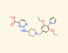 CCOc1cc(CN2CCC(Nc3nccc(C(=O)OC)n3)CC2)cc(OCC)c1-n1cccc1